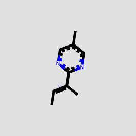 C/C=C(\C)c1ncc(C)cn1